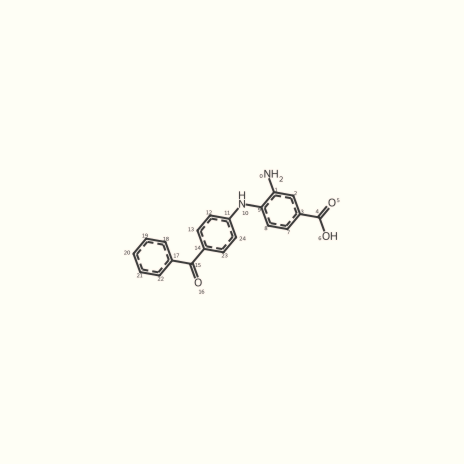 Nc1cc(C(=O)O)ccc1Nc1ccc(C(=O)c2ccccc2)cc1